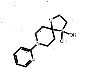 OS1(O)CCOC12CCN(c1cc[c]cn1)CC2